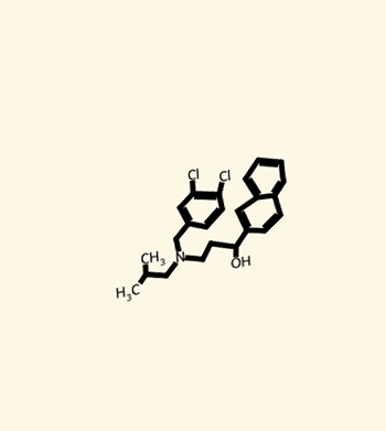 CC(C)CN(CCC(O)c1ccc2ccccc2c1)Cc1ccc(Cl)c(Cl)c1